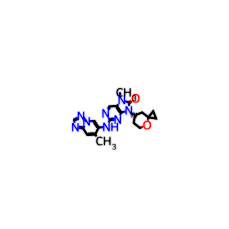 Cc1cc2ncnn2cc1Nc1ncc2c(n1)n([C@@H]1CCOC3(CC3)C1)c(=O)n2C